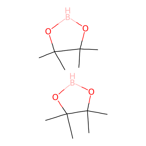 CC1(C)OBOC1(C)C.CC1(C)OBOC1(C)C